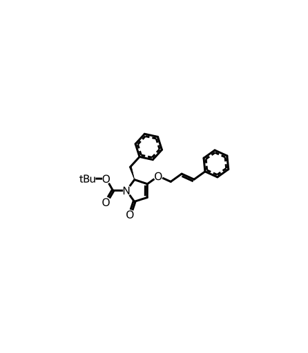 CC(C)(C)OC(=O)N1C(=O)C=C(OC/C=C/c2ccccc2)[C@@H]1Cc1ccccc1